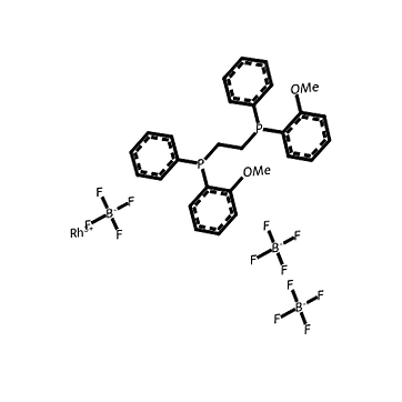 COc1ccccc1P(CCP(c1ccccc1)c1ccccc1OC)c1ccccc1.F[B-](F)(F)F.F[B-](F)(F)F.F[B-](F)(F)F.[Rh+3]